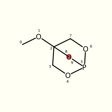 COC12COP(OC1)OC2